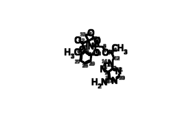 COC(=O)C1(NP(=O)(CO[C@H](C)Cn2cnc3c(N)ncnc32)Oc2ccccc2)COC1